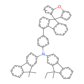 CCC1(C)c2ccccc2-c2ccc(N(c3ccc(-c4cccc5c4-c4ccccc4C54c5ccccc5Oc5ccccc54)cc3)c3ccc4c(c3)C(C)(C)c3ccccc3-4)cc21